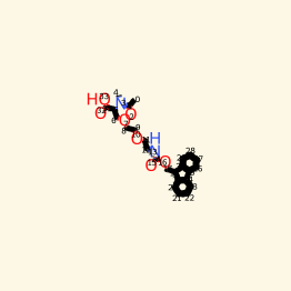 CC(=O)N(C)C(COCCOCCNC(=O)OCC1c2ccccc2-c2ccccc21)C(=O)O